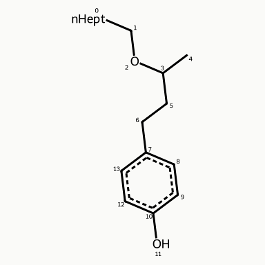 CCCCCCCCOC(C)CCc1ccc(O)cc1